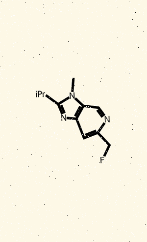 CC(C)c1nc2cc(CF)ncc2n1C